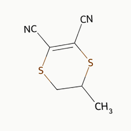 CC1CSC(C#N)=C(C#N)S1